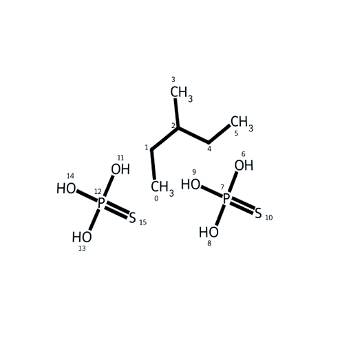 CCC(C)CC.OP(O)(O)=S.OP(O)(O)=S